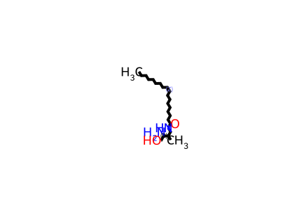 CCCCCCCC/C=C\CCCCCCCC(=O)NCC(C)[C@@H](N)CO